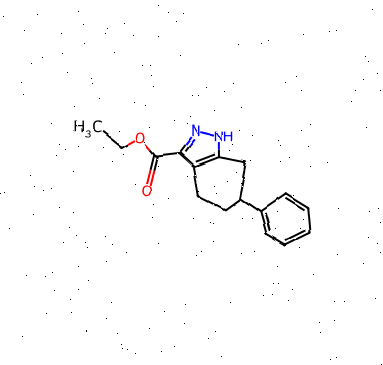 CCOC(=O)c1n[nH]c2c1CCC(c1ccccc1)C2